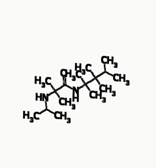 CC(C)NC(C)(C)C(=O)NC(C)(C)C(C)(C)C(C)C